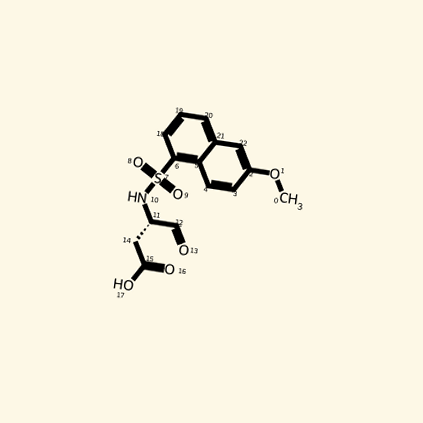 COc1ccc2c(S(=O)(=O)N[C@H]([C]=O)CC(=O)O)cccc2c1